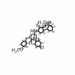 COc1ccc(CN(CC(=O)Nc2ccc(-c3ccccc3S(C)(=O)=O)cc2F)C(=O)Nc2ccc(Cl)cc2)cc1